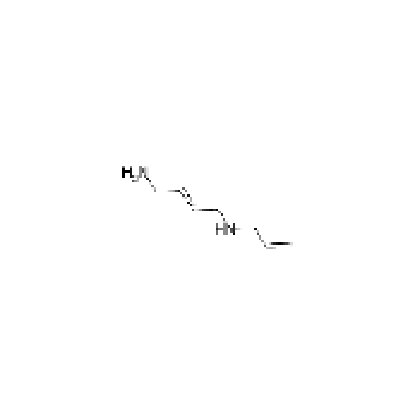 C=CCNCC=CCN